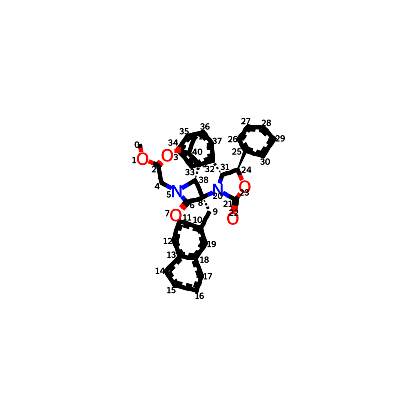 COC(=O)CN1C(=O)[C@](Cc2ccc3ccccc3c2)(N2C(=O)O[C@H](c3ccccc3)[C@H]2c2ccccc2)[C@H]1CC(C)C